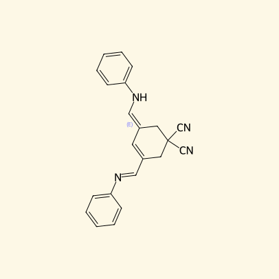 N#CC1(C#N)CC(C=Nc2ccccc2)=C/C(=C/Nc2ccccc2)C1